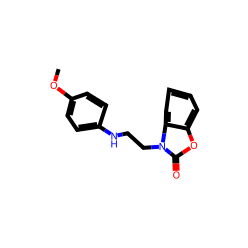 COc1ccc(NCCn2c(=O)oc3ccccc32)cc1